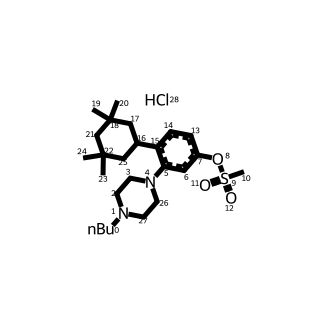 CCCCN1CCN(c2cc(OS(C)(=O)=O)ccc2C2CC(C)(C)CC(C)(C)C2)CC1.Cl